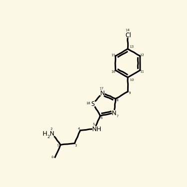 CC(N)CCNc1nc(Cc2ccc(Cl)cc2)ns1